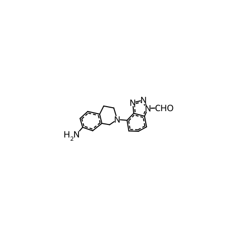 Nc1ccc2c(c1)CN(c1cccc3c1nnn3C=O)CC2